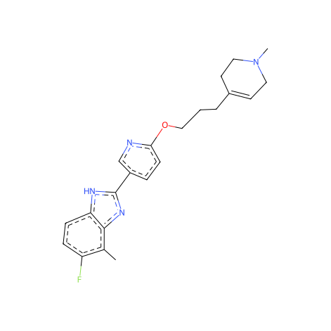 Cc1c(F)ccc2[nH]c(-c3ccc(OCCCC4=CCN(C)CC4)nc3)nc12